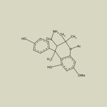 COc1[c]c(O)c2c(c1)N(C(C)=O)C(C)(C)C(C(N)=O)C2(C)c1ccc(O)cc1